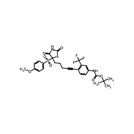 COc1ccc(S(=O)(=O)C2(CCCC#Cc3ccc(NC(=O)OC(C)(C)C)cc3C(F)(F)F)SC(=O)NC2=O)cc1